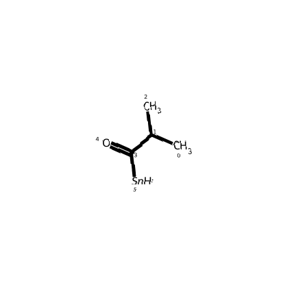 CC(C)[C](=O)[SnH]